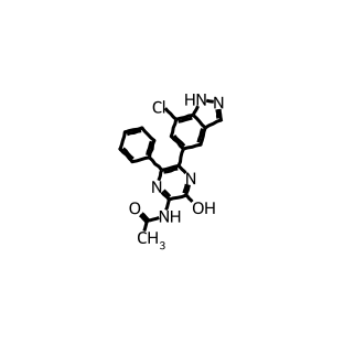 CC(=O)Nc1nc(-c2ccccc2)c(-c2cc(Cl)c3[nH]ncc3c2)nc1O